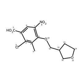 Cc1c(Cl)c(C(=O)O)cc([N+](=O)[O-])c1OCC1CCOC1